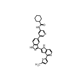 Cc1ccc(-c2nccc3[nH]c(-c4n[nH]c5ccc(-c6cncc(NC(=O)C7CCCCC7)c6)cc45)cc23)s1